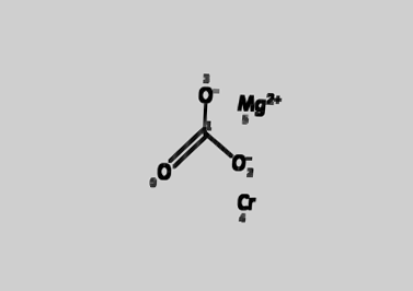 O=C([O-])[O-].[Cr].[Mg+2]